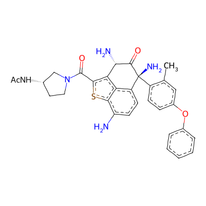 CC(=O)N[C@H]1CCN(C(=O)c2sc3c(N)ccc4c3c2[C@H](N)C(=O)[C@]4(N)c2ccc(Oc3ccccc3)cc2C)C1